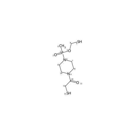 CP(=O)(OCS)N1CCN(C(=O)CS)CC1